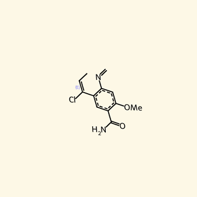 C=Nc1cc(OC)c(C(N)=O)cc1/C(Cl)=C\C